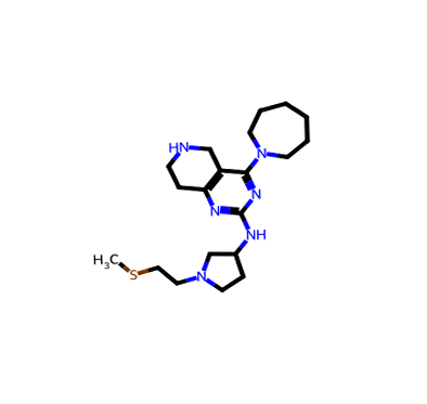 CSCCN1CCC(Nc2nc3c(c(N4CCCCCC4)n2)CNCC3)C1